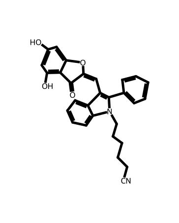 N#CCCCCCn1c(-c2ccccc2)c(C=C2Oc3cc(O)cc(O)c3C2=O)c2ccccc21